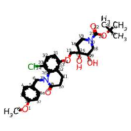 COc1ccc(CN2C(=O)CCc3c(OC[C@]4(O)CCN(C(=O)OC(C)(C)C)C[C@H]4O)ccc(Cl)c32)cc1